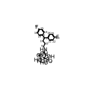 O=P(O)(O)C(O)(CCNCCCC(c1ccc(F)cc1)c1ccc(F)cc1)P(=O)(O)O